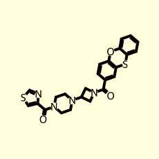 O=C(c1ccc2c(c1)Sc1ccccc1O2)N1CC(N2CCN(C(=O)c3cscn3)CC2)C1